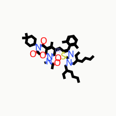 CCCCC(CC)CN(CC(CC)CCCC)c1nc(-c2c(C)cccc2C)c(/C=C2\C(=O)N(N(C)C(C)=O)C(=O)C(C(=O)N(C(C)=O)C3CCC(C)(C)CC3)=C2C)s1